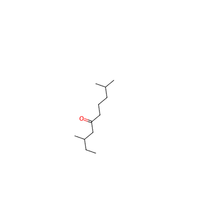 CCC(C)CC(=O)CCCC(C)C